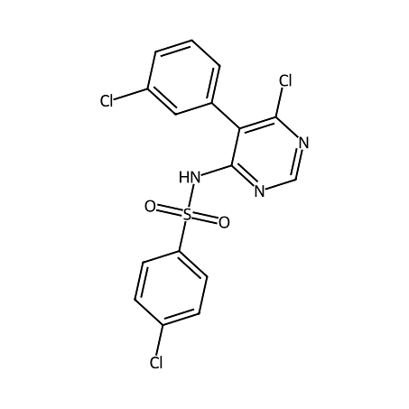 O=S(=O)(Nc1ncnc(Cl)c1-c1cccc(Cl)c1)c1ccc(Cl)cc1